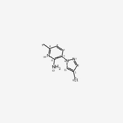 CCc1cnn(-c2ccc(C)nc2N)c1